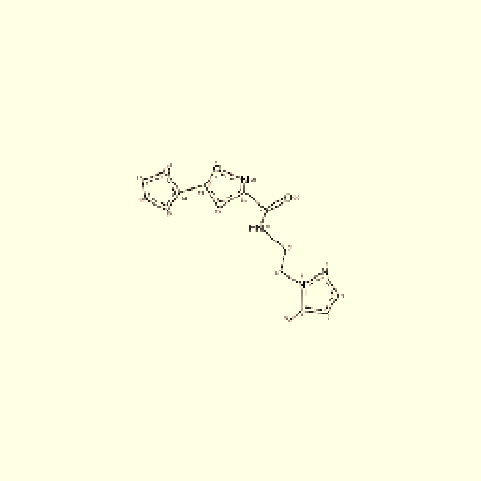 Cc1ccnn1CCNC(=O)c1cc(-c2ccco2)on1